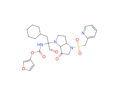 O=CC(CC1CCCCC1)(NC(=O)Oc1ccoc1)N1CCC2C1C(=O)CN2S(=O)(=O)Cc1ccccn1